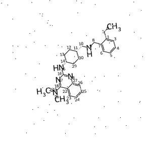 CCc1ccccc1CNC[C@H]1CC[C@@H](Nc2nc(N(C)C)c3ccccc3n2)CC1